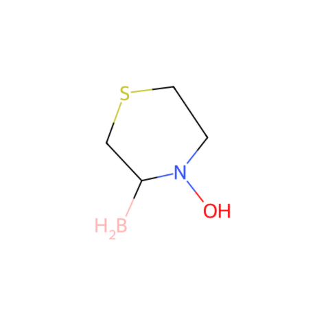 BC1CSCCN1O